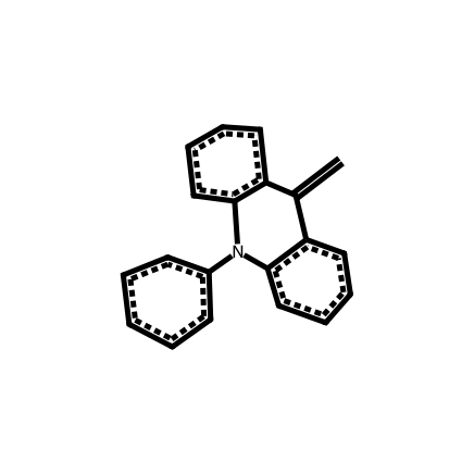 C=C1c2ccccc2N(c2ccccc2)c2ccccc21